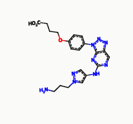 NCCCn1cc(Nc2ncc3nnn(-c4ccc(OCCCC(=O)O)cc4)c3n2)cn1